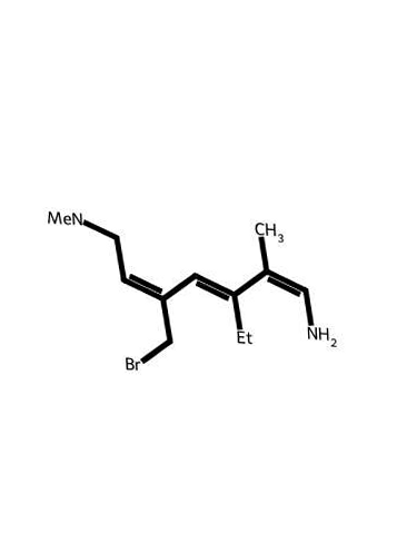 CCC(=C\C(=C/CNC)CBr)/C(C)=C\N